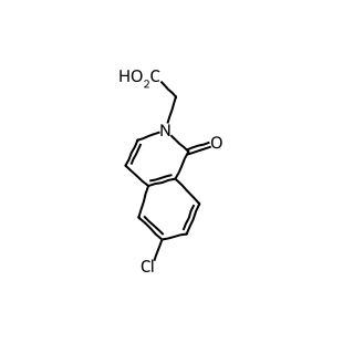 O=C(O)Cn1ccc2cc(Cl)ccc2c1=O